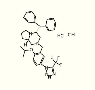 CC(C)Oc1ccc(-n2nnnc2C(F)(F)F)cc1CN1C[C@@H]2CCCN2[C@H](C(c2ccccc2)c2ccccc2)C1.Cl.Cl